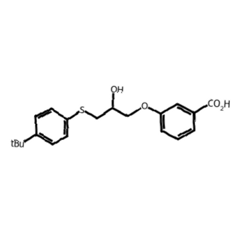 CC(C)(C)c1ccc(SCC(O)COc2cccc(C(=O)O)c2)cc1